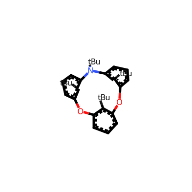 CC(C)(C)c1c2cccc1Oc1cccc(c1C(C)(C)C)N(C(C)(C)C)c1cccc(c1C(C)(C)C)O2